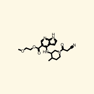 COCCOC(=O)c1cnc2[nH]ccc2c1NC1CN(C(=O)CC#N)CCC1C